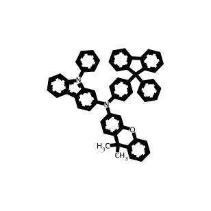 CC1(C)c2ccccc2Oc2cc(N(c3ccc(C4(c5ccccc5)c5ccccc5-c5ccccc54)cc3)c3ccc4c5ccccc5n(-c5ccccc5)c4c3)ccc21